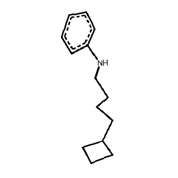 c1ccc(NCCCCC2CCC2)cc1